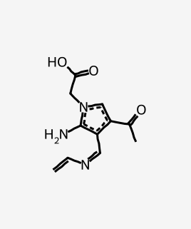 C=C/N=C\c1c(C(C)=O)cn(CC(=O)O)c1N